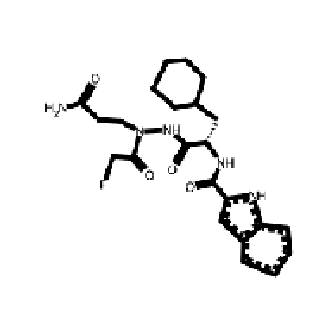 NC(=O)CCN(NC(=O)[C@H](CC1CCCCC1)NC(=O)c1cc2ccccc2[nH]1)C(=O)CF